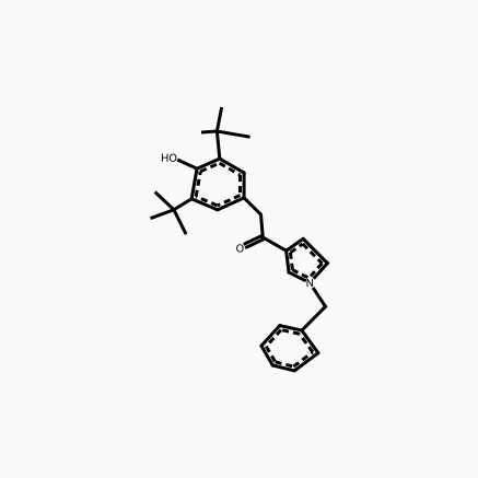 CC(C)(C)c1cc(CC(=O)c2ccn(Cc3ccccc3)c2)cc(C(C)(C)C)c1O